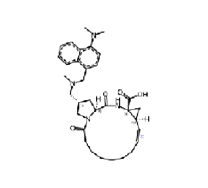 CN(Cc1ccc(N(C)C)c2ccccc12)C[C@@H]1C[C@H]2C(=O)N[C@]3(C(=O)O)C[C@H]3/C=C\CCCCCCC(=O)N2C1